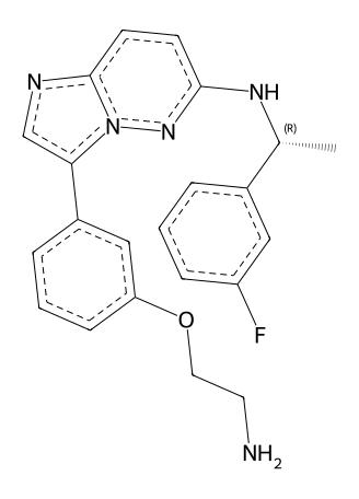 C[C@@H](Nc1ccc2ncc(-c3cccc(OCCN)c3)n2n1)c1cccc(F)c1